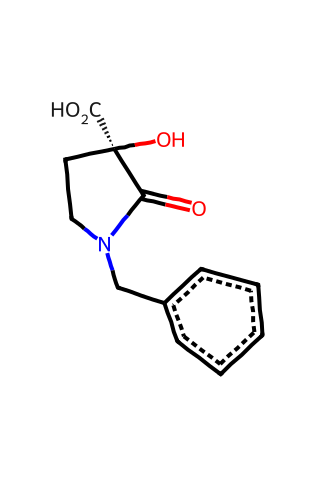 O=C(O)[C@@]1(O)CCN(Cc2ccccc2)C1=O